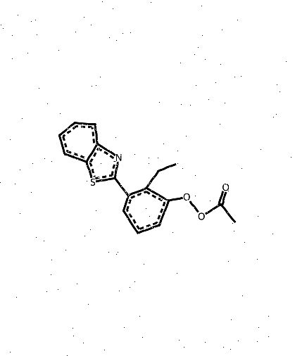 CCc1c(OOC(C)=O)cccc1-c1nc2ccccc2s1